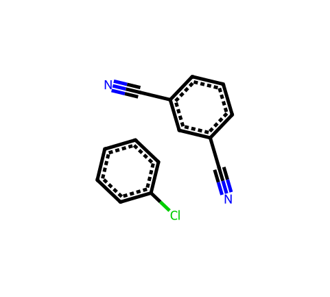 Clc1ccccc1.N#Cc1cccc(C#N)c1